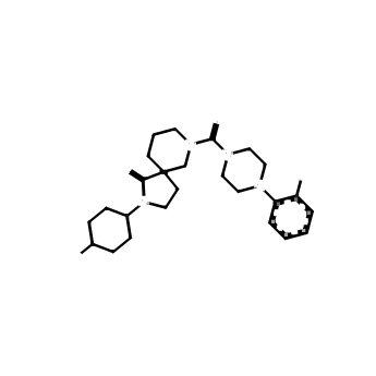 O=C(N1CCN(c2ccccc2F)CC1)N1CCCC2(CCN(C3CCC(O)CC3)C2=O)C1